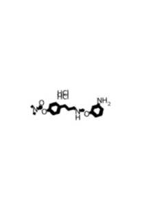 CN(C)C(=O)Oc1ccc(CCCNCOc2cccc(N)c2)cc1.Cl.Cl